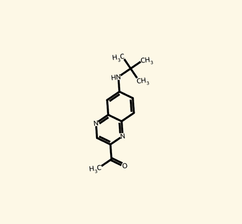 CC(=O)c1cnc2cc(NC(C)(C)C)ccc2n1